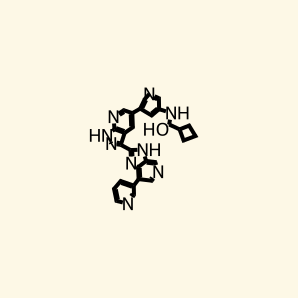 OC(Nc1cncc(-c2cnc3[nH]nc(-c4nc5c(-c6cccnc6)cncc5[nH]4)c3c2)c1)C1CCC1